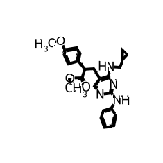 COC(=O)C(Cc1cnc(Nc2ccccc2)nc1NCC1CC1)c1ccc(OC)cc1